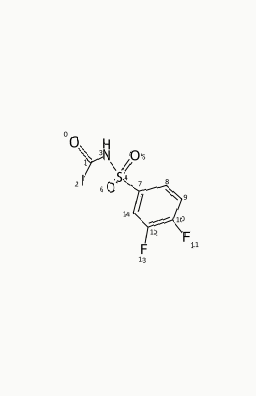 O=C(I)NS(=O)(=O)c1ccc(F)c(F)c1